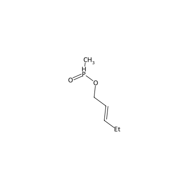 CCC=CCO[PH](C)=O